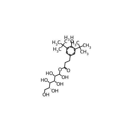 CC(C)(C)c1cc(CCC(=O)OC(O)[C@H](O)[C@@H](O)[C@H](O)[C@H](O)CO)cc(C(C)(C)C)c1O